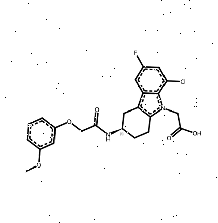 COc1cccc(OCC(=O)N[C@@H]2CCc3c(c4cc(F)cc(Cl)c4n3CC(=O)O)C2)c1